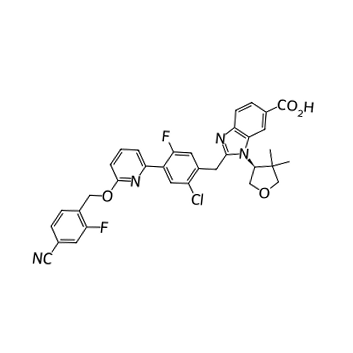 CC1(C)COC[C@H]1n1c(Cc2cc(F)c(-c3cccc(OCc4ccc(C#N)cc4F)n3)cc2Cl)nc2ccc(C(=O)O)cc21